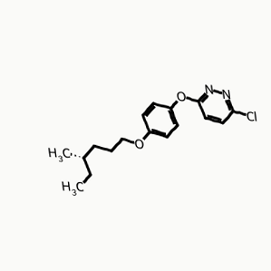 CC[C@H](C)CCCOc1ccc(Oc2ccc(Cl)nn2)cc1